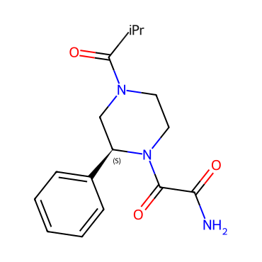 CC(C)C(=O)N1CCN(C(=O)C(N)=O)[C@@H](c2ccccc2)C1